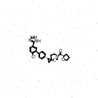 O=C([C@H]1CCCO1)N1CCC2(CC1)C[C@@H]2c1ccc(-c2cc(-c3nnn[nH]3)ccc2Cl)cc1